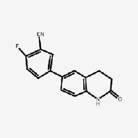 N#Cc1cc(-c2ccc3c(c2)CCC(=O)N3)ccc1F